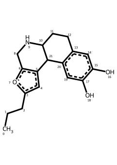 CCCc1cc2c(o1)CNC1CCc3cc(O)c(O)cc3C21